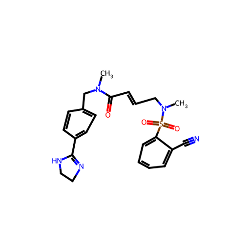 CN(Cc1ccc(C2=NCCN2)cc1)C(=O)/C=C/CN(C)S(=O)(=O)c1ccccc1C#N